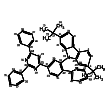 CC(C)(C)c1ccc2c3ccc(C(C)(C)C)cc3n(-c3cc(-c4nc(-c5ccccc5)nc(-c5ccccc5)n4)ccc3-c3ccccn3)c2c1